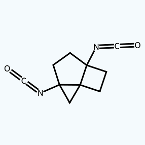 O=C=NC12CCC3(N=C=O)CC13CC2